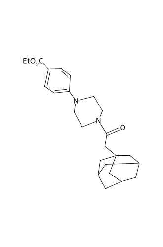 CCOC(=O)c1ccc(N2CCN(C(=O)CC34CC5CC(CC(C5)C3)C4)CC2)cc1